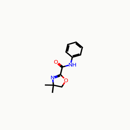 CC1(C)COC(C(=O)Nc2ccccc2)=N1